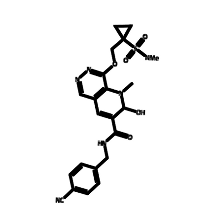 CNS(=O)(=O)C1(COc2nncc3c2N(C)C(O)C(C(=O)NCc2ccc(C#N)cc2)=C3)CC1